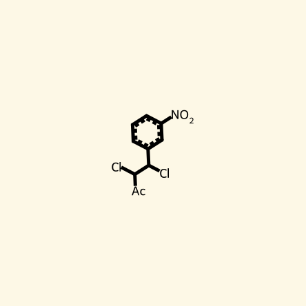 CC(=O)C(Cl)C(Cl)c1cccc([N+](=O)[O-])c1